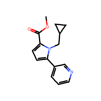 COC(=O)c1ccc(-c2cccnc2)n1CC1CC1